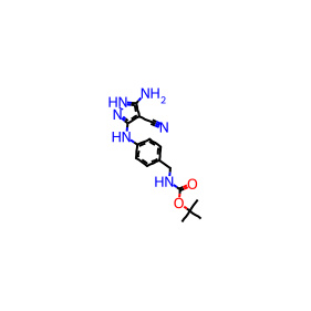 CC(C)(C)OC(=O)NCc1ccc(Nc2n[nH]c(N)c2C#N)cc1